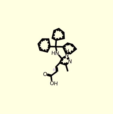 Cc1n[nH]c(NC(c2ccccc2)(c2ccccc2)c2ccccc2)c1/C=C/C(=O)O